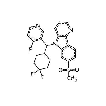 CS(=O)(=O)c1ccc2c3ncccc3n(C(c3cnccc3F)C3CCC(F)(F)CC3)c2c1